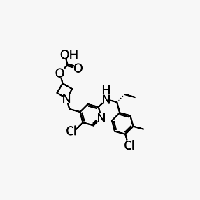 CC[C@@H](Nc1cc(CN2CC(OC(=O)O)C2)c(Cl)cn1)c1ccc(Cl)c(C)c1